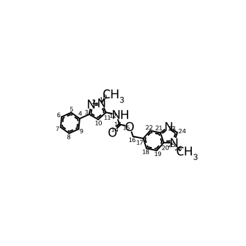 Cn1nc(-c2ccccc2)cc1NC(=O)OCc1ccc2c(c1)ncn2C